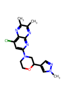 Cc1nc2nc(N3CCOC(c4cnn(C)c4)C3)cc(Cl)c2nc1C